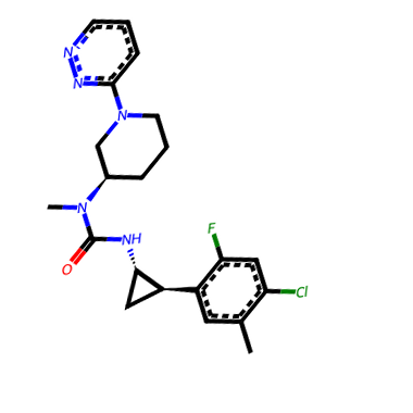 Cc1cc([C@H]2C[C@@H]2NC(=O)N(C)[C@@H]2CCCN(c3cccnn3)C2)c(F)cc1Cl